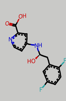 O=C(O)c1cc(N[C@H](O)Cc2cc(F)ccc2F)ccn1